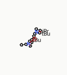 CC(C)c1ccc(-c2ccccc2N(c2ccc(C(C)(C)C)cc2)c2ccc3cc4c(cc3c2)oc2cc3cc(N(c5ccc(-c6ccccc6)cc5)c5ccccc5-c5ccc(C(C)(C)C)cc5)ccc3cc24)cc1